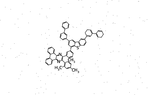 Cc1cc(C)c(-c2nc3c4ccccc4c4ccccc4c3nc2-c2cccc(-c3cc(-c4cccc(-c5ccccc5)c4)cc4c3sc3ccc(C5=CC(C6=CCCC=C6)=CCC5)cc34)c2)c(C)c1